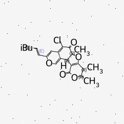 CC[C@H](C)/C=C/C1=CC2=C(Cl)C(=O)[C@@]3(C)OC4=C(C(=O)O[C@H](C)[C@H]4C)[C@H]3C2=CO1